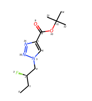 CC[C@@H](F)Cn1cc(C(=O)OC(C)(C)C)nn1